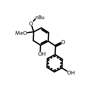 CCCCOC1(OC)C=CC(C(=O)c2cccc(O)c2)=C(O)C1